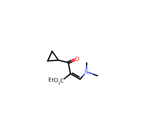 CCOC(=O)/C(=C/N(C)C)C(=O)C1CC1